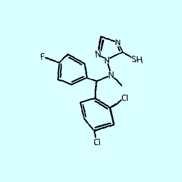 CN(C(c1ccc(F)cc1)c1ccc(Cl)cc1Cl)n1ncnc1S